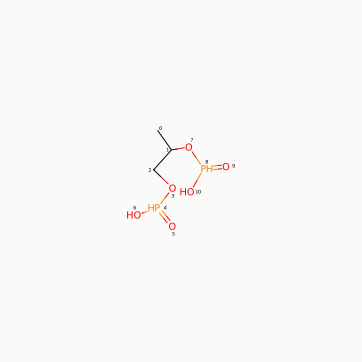 CC(CO[PH](=O)O)O[PH](=O)O